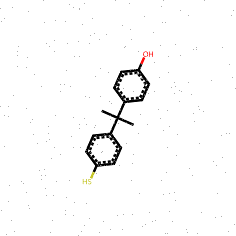 CC(C)(c1ccc(O)cc1)c1ccc(S)cc1